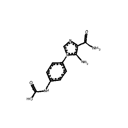 NC(=O)c1ncn(-c2ccc(NC(=O)O)cc2)c1N